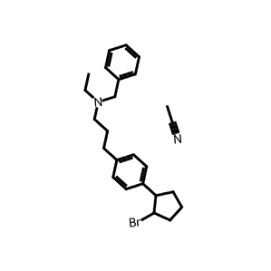 CC#N.CCN(CCCc1ccc(C2CCCC2Br)cc1)Cc1ccccc1